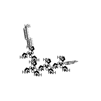 [Cl-].[Cl-].[Cl-].[Cl-].[Cl-].[Cl-].[Cl-].[Cl-].[Cl-].[Cl-].[O-2].[O-2].[O-2].[O-2].[O-2].[V+5].[V+5].[V+5].[V+5].c1cc(OB(Oc2cc[nH]n2)Oc2cc[nH]n2)n[nH]1.c1cc(OB(Oc2cc[nH]n2)Oc2cc[nH]n2)n[nH]1.c1cc(OB(Oc2cc[nH]n2)Oc2cc[nH]n2)n[nH]1.c1cc(OB(Oc2cc[nH]n2)Oc2cc[nH]n2)n[nH]1